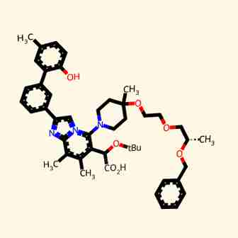 Cc1ccc(O)c(-c2cccc(-c3cn4c(N5CCC(C)(OCCOC[C@H](C)OCc6ccccc6)CC5)c(C(OC(C)(C)C)C(=O)O)c(C)c(C)c4n3)c2)c1